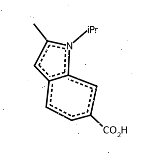 Cc1cc2ccc(C(=O)O)cc2n1C(C)C